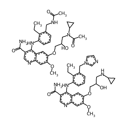 CCc1c(CNC(C)=O)cccc1Nc1c(C(N)=O)cnc2cc(OC)c(OCC(O)CN(C(C)=O)C3CC3)cc12.CCc1c(Cn2ccnc2)cccc1Nc1c(C(N)=O)cnc2cc(OC)c(OCC(O)CNC3CC3)cc12